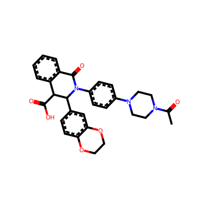 CC(=O)N1CCN(c2ccc(N3C(=O)c4ccccc4C(C(=O)O)C3c3ccc4c(c3)OCCO4)cc2)CC1